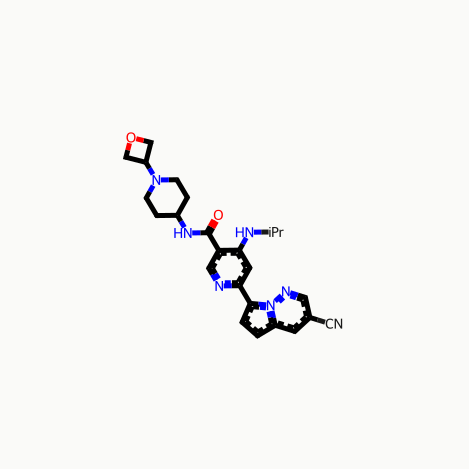 CC(C)Nc1cc(-c2ccc3cc(C#N)cnn23)ncc1C(=O)NC1CCN(C2COC2)CC1